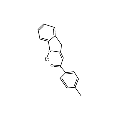 CCN1/C(=C\C(=O)c2ccc(C)cc2)Cc2ccccc21